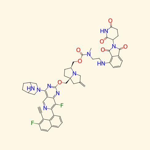 C#Cc1c(F)ccc2cccc(-c3ncc4c(N5CC6CCC(C5)N6)nc(OC[C@@]56CC[C@@H](COC(=O)N(C)CCNc7cccc8c7C(=O)N(C7CCC(=O)NC7=O)C8=O)N5CC(=C)C6)nc4c3F)c12